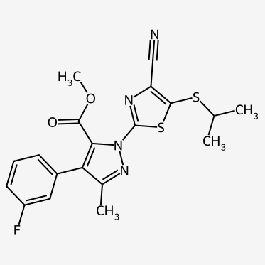 COC(=O)c1c(-c2cccc(F)c2)c(C)nn1-c1nc(C#N)c(SC(C)C)s1